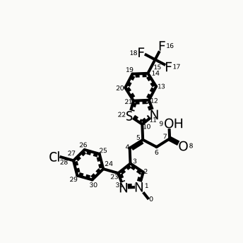 Cn1cc(/C=C(\CC(=O)O)c2nc3cc(C(F)(F)F)ccc3s2)c(-c2ccc(Cl)cc2)n1